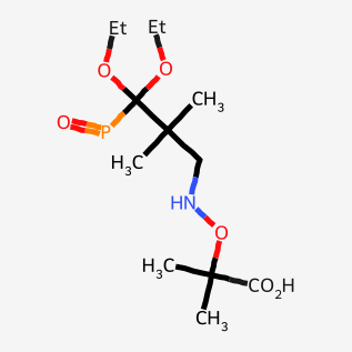 CCOC(OCC)(P=O)C(C)(C)CNOC(C)(C)C(=O)O